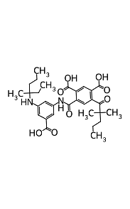 CCCC(C)(CC)Nc1cc(NC(=O)c2cc(C(=O)C(C)(C)CCC)c(C(=O)O)cc2C(=O)O)cc(C(=O)O)c1